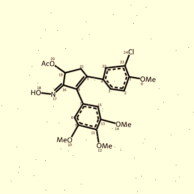 COc1ccc(C2=C(c3cc(OC)c(OC)c(OC)c3)C(=NO)C(OC(C)=O)C2)cc1Cl